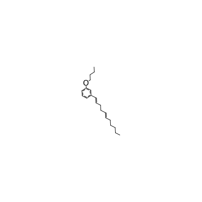 CCCCC/C=C/CCC=Cc1cccc(OCCCC)c1